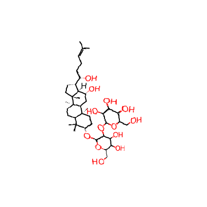 CC(C)=CCC[C@H](O)[C@H]1CC[C@]2(C)[C@@H]1[C@H](O)CC1[C@@]3(C)CC[C@H](OC4OC(CO)C(O)C(O)C4OC4OC(CO)C(O)C(O)C4O)C(C)(C)C3CC[C@]12C